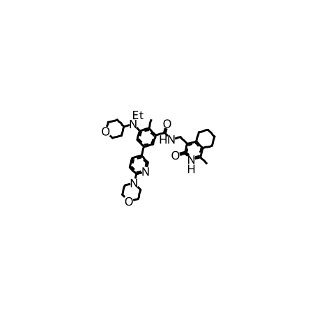 CCN(c1cc(-c2ccc(N3CCOCC3)nc2)cc(C(=O)NCc2c3c(c(C)[nH]c2=O)CCCC3)c1C)C1CCOCC1